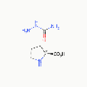 NNC(N)=O.O=C(O)[C@@H]1CCCN1